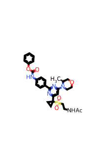 CC(=O)NCCS(=O)(=O)C1(c2cc(N3CCOC[C@@H]3C)nc(-c3ccc(NC(=O)Oc4ccccc4)cc3)n2)CC1